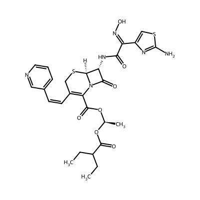 CCC(CC)C(=O)O[C@H](C)OC(=O)C1=C(/C=C\c2cccnc2)CS[C@H]2[C@H](NC(=O)C(=NO)c3csc(N)n3)C(=O)N12